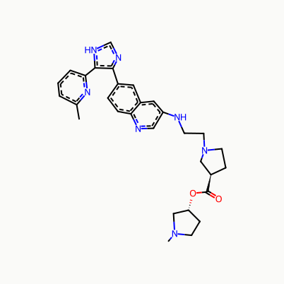 Cc1cccc(-c2[nH]cnc2-c2ccc3ncc(NCCN4CC[C@@H](C(=O)O[C@@H]5CCN(C)C5)C4)cc3c2)n1